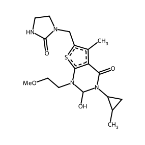 COCCN1c2sc(CN3CCNC3=O)c(C)c2C(=O)N(C2CC2C)C1O